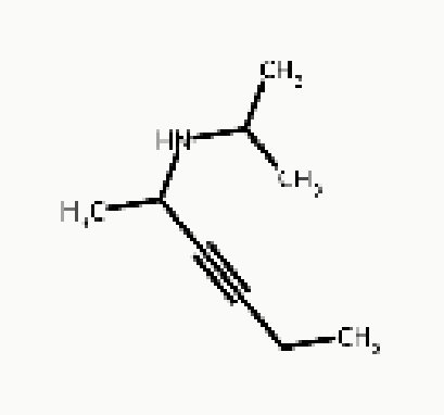 CCC#CC(C)NC(C)C